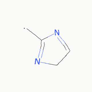 [CH2]C1=NCC=N1